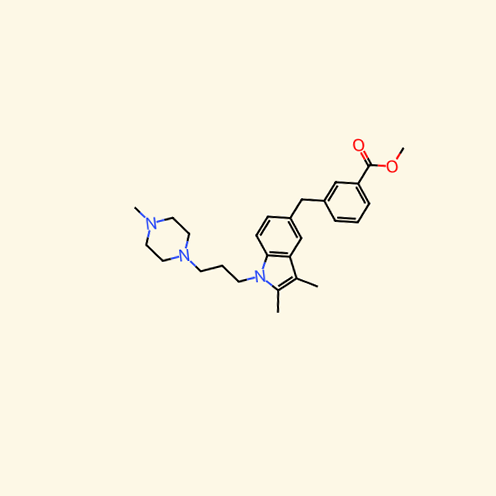 COC(=O)c1cccc(Cc2ccc3c(c2)c(C)c(C)n3CCCN2CCN(C)CC2)c1